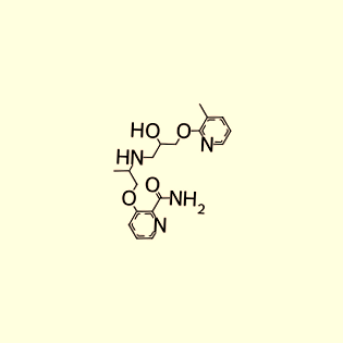 Cc1cccnc1OCC(O)CNC(C)COc1cccnc1C(N)=O